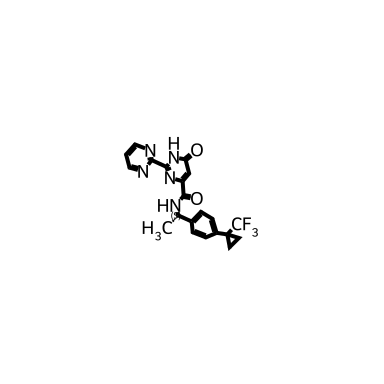 C[C@H](NC(=O)c1cc(=O)[nH]c(-c2ncccn2)n1)c1ccc(C2(C(F)(F)F)CC2)cc1